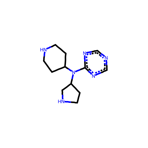 c1ncnc(N(C2CCNCC2)C2CCNC2)n1